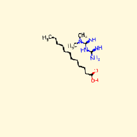 CCCCCCCCCCCC(=O)O.CN(C)C(=N)NC(=N)N